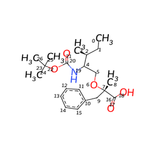 CC[C@H](C)C(CO[C@@](C)(Cc1ccccc1)C(=O)O)NC(=O)OC(C)(C)C